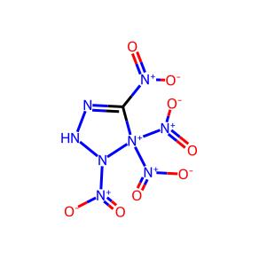 O=[N+]([O-])C1=NNN([N+](=O)[O-])[N+]1([N+](=O)[O-])[N+](=O)[O-]